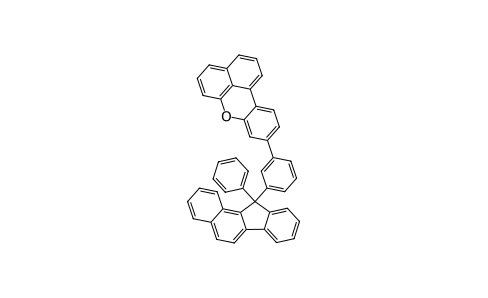 c1ccc(C2(c3cccc(-c4ccc5c(c4)Oc4cccc6cccc-5c46)c3)c3ccccc3-c3ccc4ccccc4c32)cc1